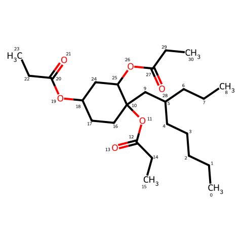 CCCCCC(CCC)CC1(OC(=O)CC)CCC(OC(=O)CC)CC1OC(=O)CC